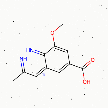 COC1=CC(C(=O)O)=C/C(=C/C(C)=N)C1=N